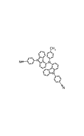 Cc1ccc(N(c2cccc3c2c2ccccc2n3-c2ccc(C#N)cc2)c2cccc3c2c2ccccc2n3-c2ccc(C#N)cc2)cc1